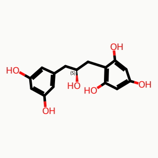 Oc1cc(O)cc(C[C@H](O)Cc2c(O)cc(O)cc2O)c1